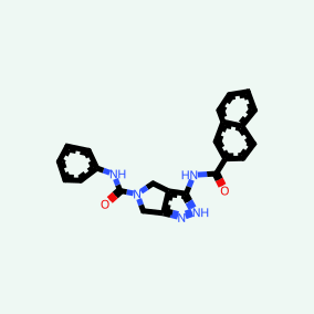 O=C(Nc1[nH]nc2c1CN(C(=O)Nc1ccccc1)C2)c1ccc2ccccc2c1